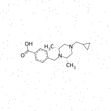 C[C@@H]1CN(CC2CC2)C[C@H](C)N1Cc1ccc(C(=O)O)cc1